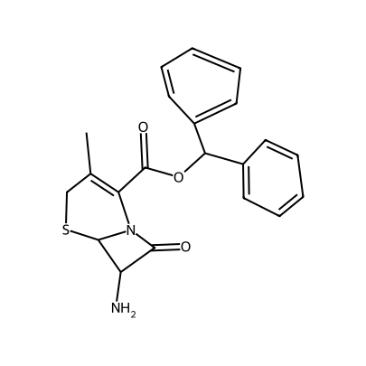 CC1=C(C(=O)OC(c2ccccc2)c2ccccc2)N2C(=O)C(N)C2SC1